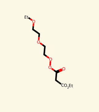 CCOCCOCCOOC(=O)CC(=O)OCC